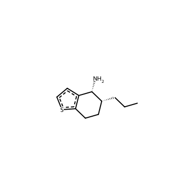 CCC[C@@H]1CCc2sccc2[C@@H]1N